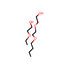 CCCCOCCOCCO.CCOCCO